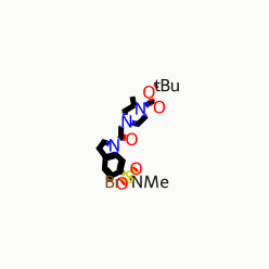 CNS(=O)(=O)c1cc2c(cc1Br)CCN2C(=O)CN1CCN(C(=O)OC(C)(C)C)C(C)C1